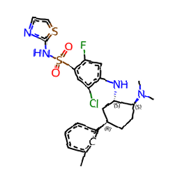 Cc1cccc([C@@H]2CC[C@H](N(C)C)[C@@H](Nc3cc(F)c(S(=O)(=O)Nc4nccs4)cc3Cl)C2)c1